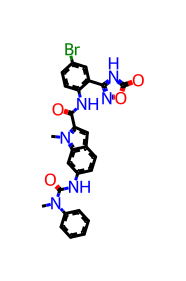 CN(C(=O)Nc1ccc2cc(C(=O)Nc3ccc(Br)cc3-c3noc(=O)[nH]3)n(C)c2c1)c1ccccc1